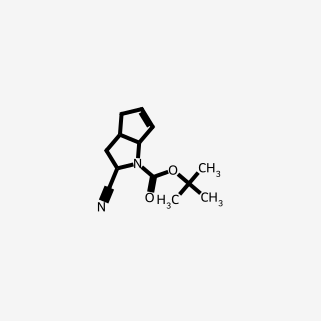 CC(C)(C)OC(=O)N1C(C#N)CC2CC=CC21